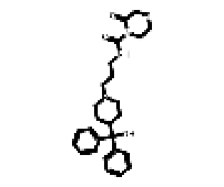 O=C1CSCCN1C(=O)NCCCN1CCC(C(O)(c2ccccc2)c2ccccc2)CC1